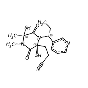 CC[C@H](c1cccnc1)N1C(=O)[C@](C)(S)N(C)C(=O)[C@@]1(S)CCC#N